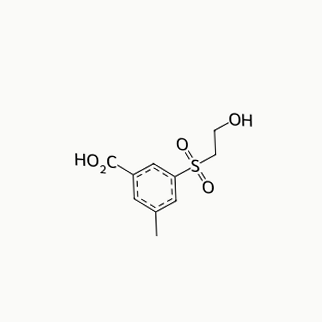 Cc1cc(C(=O)O)cc(S(=O)(=O)CCO)c1